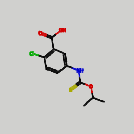 CC(C)OC(=S)Nc1ccc(Cl)c(C(=O)O)c1